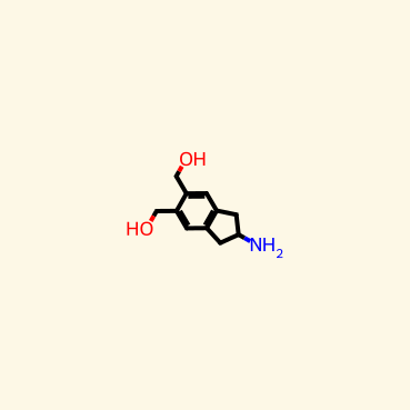 NC1Cc2cc(CO)c(CO)cc2C1